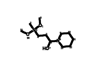 CO[Si](C)(CCC(O)N1CCCCC1)OC